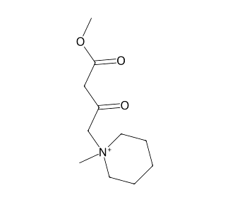 COC(=O)CC(=O)C[N+]1(C)CCCCC1